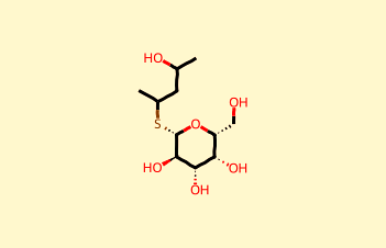 CC(O)CC(C)S[C@@H]1O[C@H](CO)[C@H](O)[C@H](O)[C@H]1O